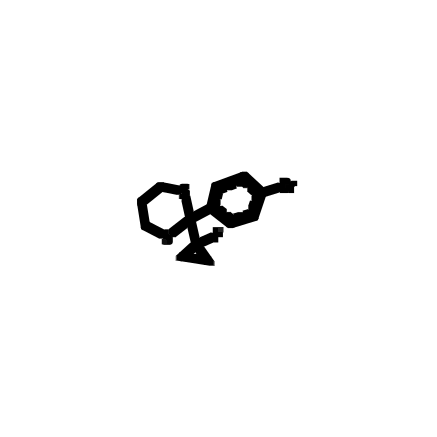 FC1(C2(c3ccc(Br)cc3)SCCCS2)CC1